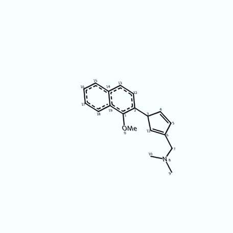 COc1c(C2C=CC(CN(C)C)=C2)ccc2ccccc12